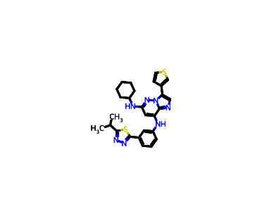 CC(C)c1nnc(-c2cccc(Nc3cc(NC4CCCCC4)nn4c(-c5ccsc5)cnc34)c2)s1